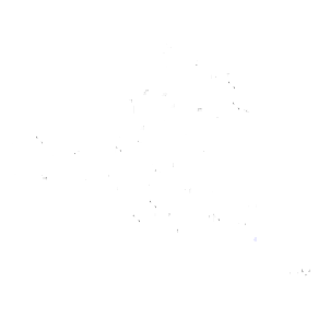 COC/C=C/C(=O)N1CCC(n2ncc3c(OCC4CCCN4C)nc4c(F)c(-c5c(C)c(Cl)cc6[nH]ncc56)c(Cl)cc4c32)CC1